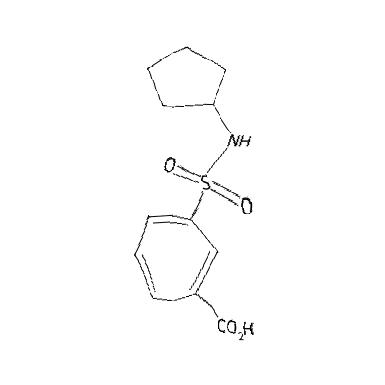 O=C(O)c1cccc(S(=O)(=O)NC2CCCC2)c1